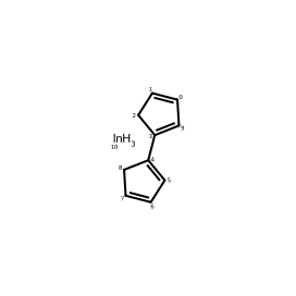 C1=CCC(C2=CC=CC2)=C1.[InH3]